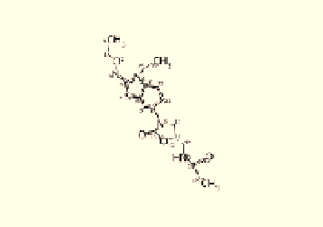 CCON=c1sc2cc(N3C[C@H](CNC(=O)CC)OC3=O)ccc2n1CC